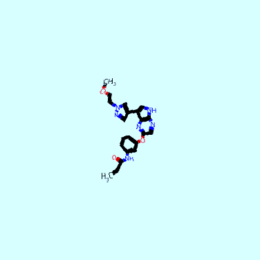 CCC(=O)Nc1cccc(Oc2cnc3[nH]cc(-c4cnn(CCOC)c4)c3n2)c1